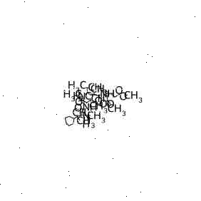 CN[C@H](C(=O)N[C@H](C(=O)N(C)[C@H](/C=C(\C)C(=O)N[C@H](CCC(=O)OC)C(=O)OC)C(C)C)C(C)(C)C)C(C)(C)C1CCCCC1